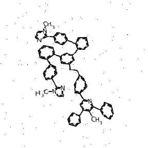 Cc1c(-c2ccccc2)cc(-c2ccc(CCc3cc(-c4ccccc4-c4ccc(-c5nccn5C)cc4)cc(-c4ccccc4-c4ccc(-c5nccn5C)cc4)c3)cc2)nc1-c1ccccc1